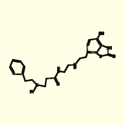 CC(C)N(CCC(=O)NCCNCCc1ccc(O)c2[nH]c(=O)sc12)CCc1ccccc1